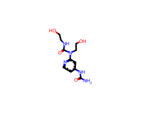 NC(=O)Nc1ccnc(N(CCO)C(=O)NCCO)c1